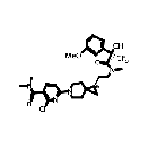 COc1cccc([C@@](O)(C(=O)N(C)CC[C@H]2CC23CCN(c2ccc(C(=O)N(C)C)c(Cl)n2)CC3)C(F)(F)F)c1